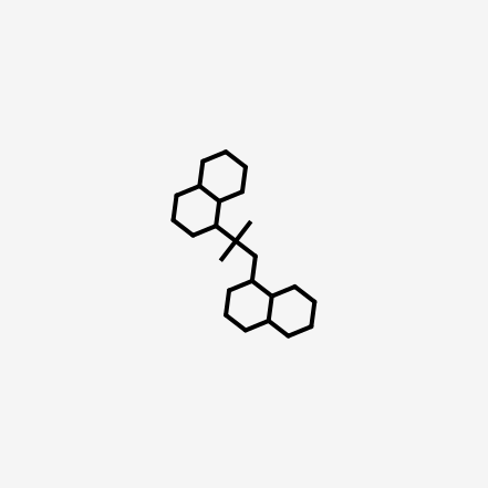 CC(C)(CC1CCCC2CCCCC21)C1CCCC2CCCCC21